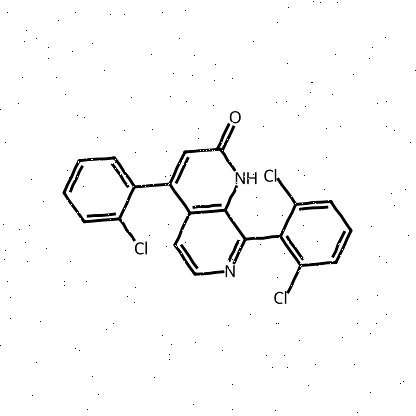 O=c1cc(-c2ccccc2Cl)c2ccnc(-c3c(Cl)cccc3Cl)c2[nH]1